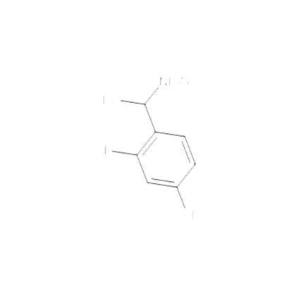 CC(=O)NC(C)c1ccc(C(F)(F)F)cc1F